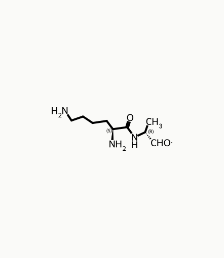 C[C@H]([C]=O)NC(=O)[C@@H](N)CCCCN